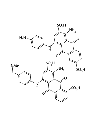 CNCc1ccc(Nc2cc(S(=O)(=O)O)c(N)c3c2C(=O)c2cccc(S(=O)(=O)O)c2C3=O)cc1.Nc1ccc(Nc2cc(S(=O)(=O)O)c(N)c3c2C(=O)c2cc(S(=O)(=O)O)ccc2C3=O)cc1